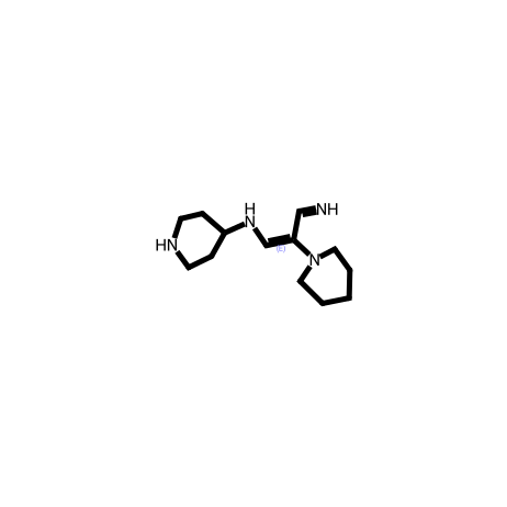 N=C/C(=C\NC1CCNCC1)N1CCCCC1